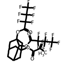 C=C(C)C(=O)OC12CC3CC(C1)C(OC(=O)C(F)(F)C(F)(F)C(F)(F)F)C(OC(=O)C(F)(F)C(F)(F)C(F)(F)F)(C3)C2